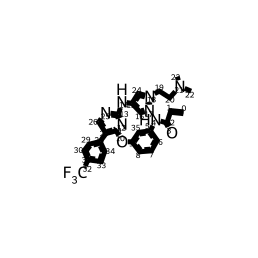 C=CC(=O)Nc1cccc(Oc2nc(Nc3cnn(CCN(C)C)c3)ncc2-c2ccc(C(F)(F)F)cc2)c1